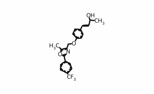 Cc1oc(-c2ccc(C(F)(F)F)cc2)nc1COc1ccc(/C=C/C(C)O)cc1